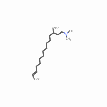 CCCCCCC=CCCCCCCCCCC(CCCCCCCCC)CCN(C)C